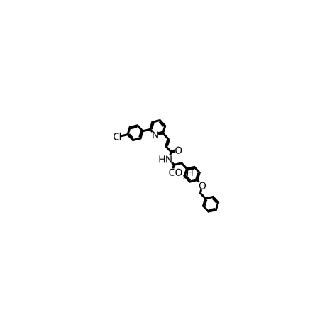 O=C(C=Cc1cccc(-c2ccc(Cl)cc2)n1)NC(Cc1ccc(OCc2ccccc2)cc1)C(=O)O